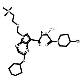 CC(C)(C)[C@@H](NC(=O)c1cn(COCC[Si](C)(C)C)c2ncc(OC3CCCCC3)nc12)C(=O)N1CCC(C#N)CC1